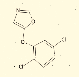 Clc1ccc(Cl)c(Oc2cn[c]o2)c1